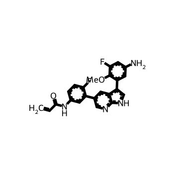 C=CC(=O)Nc1ccc(F)c(-c2cnc3[nH]cc(-c4cc(N)cc(F)c4OC)c3c2)c1